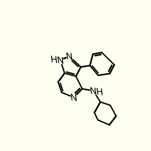 c1ccc(-c2n[nH]c3ccnc(NC4CCCCC4)c23)cc1